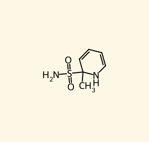 CC1(S(N)(=O)=O)C=CC=CN1